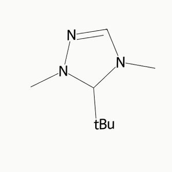 CN1C=NN(C)C1C(C)(C)C